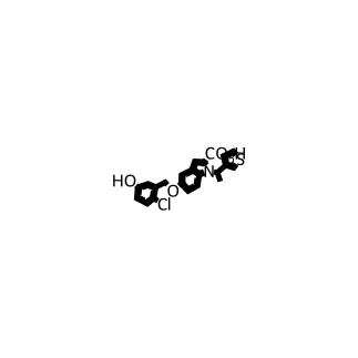 CC(c1ccsc1)n1c(C(=O)O)cc2cc(OCc3cc(O)ccc3Cl)ccc21